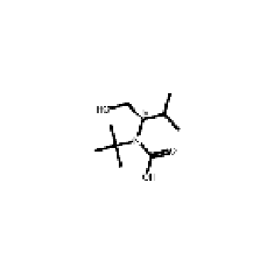 CC(C)[C@H](CO)N(C(=O)O)C(C)(C)C